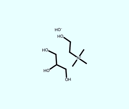 C[N+](C)(C)CCO.OCC(O)CO.[OH-]